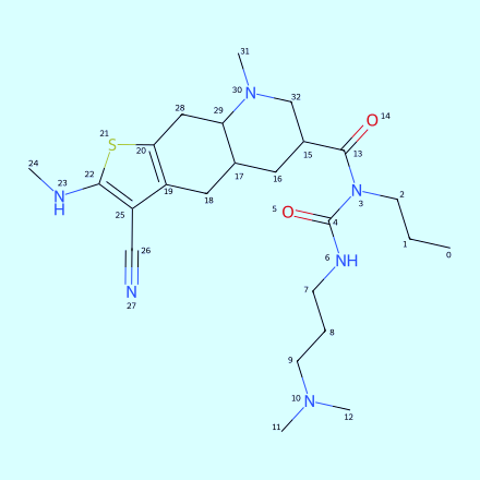 CCCN(C(=O)NCCCN(C)C)C(=O)C1CC2Cc3c(sc(NC)c3C#N)CC2N(C)C1